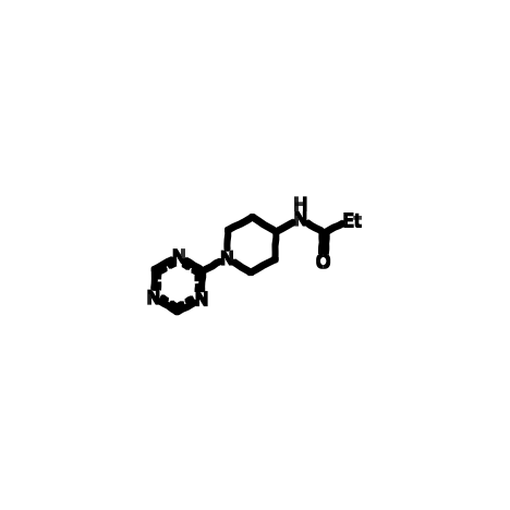 [CH2]CC(=O)NC1CCN(c2ncncn2)CC1